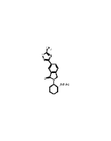 CC(=O)N[C@@H]1CCCC[C@H]1N1Cc2ccc(-c3noc(C(F)(F)F)n3)cc2C1=O